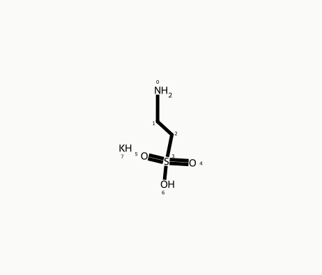 NCCS(=O)(=O)O.[KH]